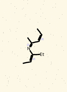 C\C=C/C(C)=N\C(=C/C)CC